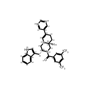 O=C(c1cc(C(F)(F)F)cc(C(F)(F)F)c1)N1C[C@H]2CCC(c3cncnc3)=CN2C[C@H]1Cc1c[nH]c2ccccc12